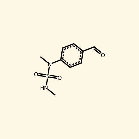 CNS(=O)(=O)N(C)c1ccc(C=O)cc1